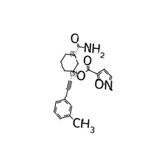 Cc1cccc(C#C[C@]2(OC(=O)c3ccno3)CCC[C@H](C(N)=O)C2)c1